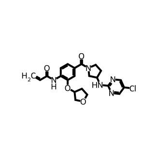 C=CC(=O)Nc1ccc(C(=O)N2CCC(Nc3ncc(Cl)cn3)C2)cc1OC1CCOC1